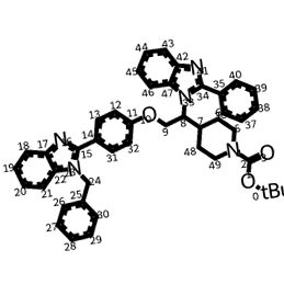 CC(C)(C)OC(=O)N1CCC(C(COc2ccc(-c3nc4ccccc4n3Cc3ccccc3)cc2)n2c(-c3ccccc3)nc3ccccc32)CC1